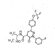 C[C@@H](O)[C@@H](C)NC(=O)c1cc(-c2ccc(OC(F)(F)F)cc2)nn(-c2cccc(F)c2)c1=O